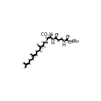 CC(C)=CCC/C(C)=C/CC/C(C)=C/CSCC(NC(=O)CCNC(=O)OC(C)(C)C)C(=O)O